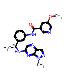 COc1cncc(C(=O)Nc2cccc([C@H](C)Nc3cnc4cnn(C)c4n3)c2)c1